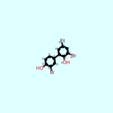 CCc1cc(Br)c(O)c(-c2ccc(O)c(Br)c2)c1